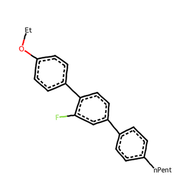 CCCCCc1ccc(-c2ccc(-c3ccc(OCC)cc3)c(F)c2)cc1